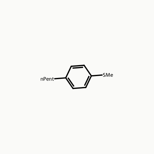 [CH2]CCCCc1ccc(SC)cc1